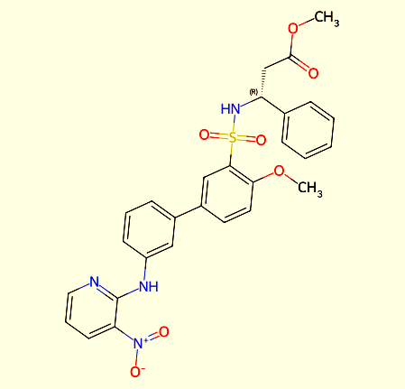 COC(=O)C[C@@H](NS(=O)(=O)c1cc(-c2cccc(Nc3ncccc3[N+](=O)[O-])c2)ccc1OC)c1ccccc1